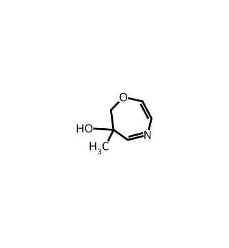 CC1(O)C=NC=COC1